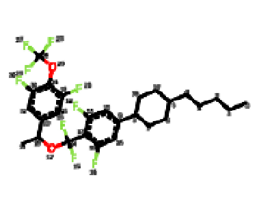 CCCCCC1CCC(c2cc(F)c(C(F)(F)OC(C)c3cc(F)c(OC(F)(F)F)c(F)c3)c(F)c2)CC1